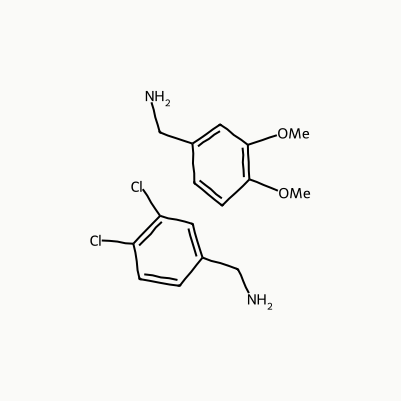 COc1ccc(CN)cc1OC.NCc1ccc(Cl)c(Cl)c1